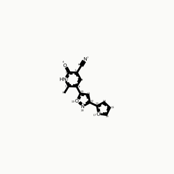 Cc1[nH]c(=O)c(C#N)cc1-c1cc(-c2ccco2)no1